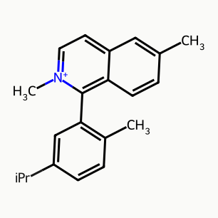 Cc1ccc2c(-c3cc(C(C)C)ccc3C)[n+](C)ccc2c1